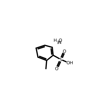 Cc1ccccc1S(=O)(=O)O.O.[N]